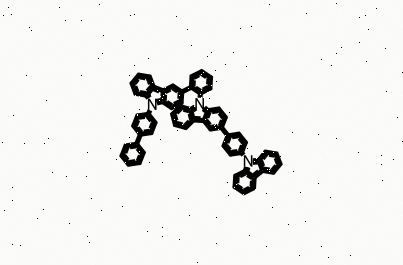 c1ccc(-c2ccc(-n3c4ccccc4c4cc(-c5ccccc5-n5c6ccccc6c6cc(-c7ccc(-n8c9ccccc9c9ccccc98)cc7)ccc65)ccc43)cc2)cc1